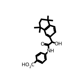 CC1(C)CCC(C)(C)c2cc(C(O)C(=O)Nc3ccc(C(=O)O)cc3)ccc21